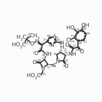 CC(C)(O/N=C(\C(=O)N[C@@H]1C(=O)N(CC(=O)O)[C@@H]1SN1CC[C@H](NC(=O)C(=O)c2ccc(O)c(O)c2Cl)C1=O)c1csc(N)n1)C(=O)O